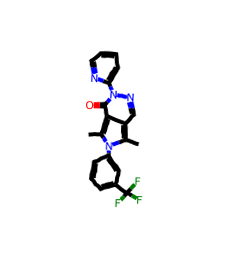 Cc1c2cnn(-c3ccccn3)c(=O)c2c(C)n1-c1cccc(C(F)(F)F)c1